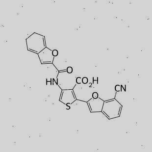 N#Cc1cccc2cc(-c3scc(NC(=O)c4cc5c(o4)=CCCC=5)c3C(=O)O)oc12